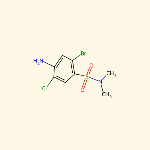 CN(C)S(=O)(=O)c1cc(Cl)c(N)cc1Br